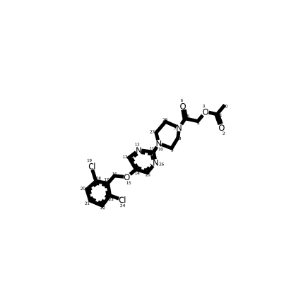 CC(=O)OCC(=O)N1CCN(c2ncc(OCc3c(Cl)cccc3Cl)cn2)CC1